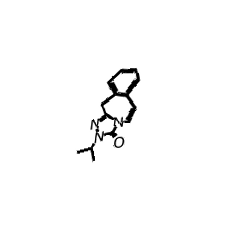 CC(C)n1nc2n(c1=O)C=Cc1ccccc1C2